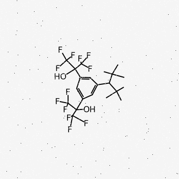 CC(C)(C)C(c1cc(C(O)(C(F)(F)F)C(F)(F)F)cc(C(O)(C(F)(F)F)C(F)(F)F)c1)C(C)(C)C